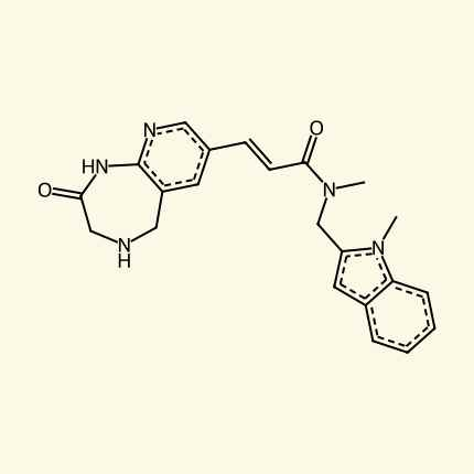 CN(Cc1cc2ccccc2n1C)C(=O)C=Cc1cnc2c(c1)CNCC(=O)N2